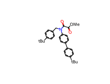 COC(=O)C(=O)N(Cc1ccc(C(C)(C)C)cc1)c1ccc(-c2ccc(C(C)(C)C)cc2)cc1